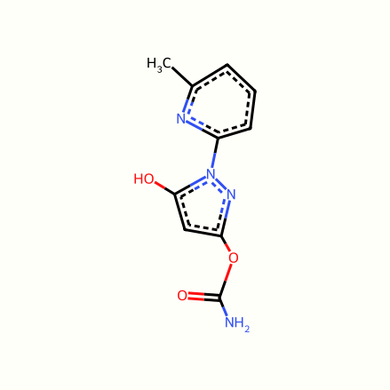 Cc1cccc(-n2nc(OC(N)=O)cc2O)n1